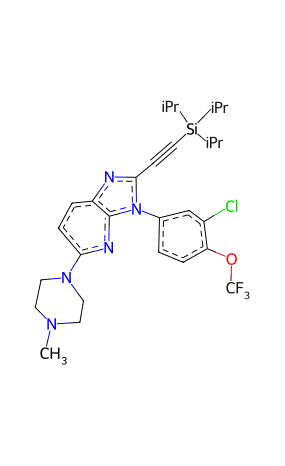 CC(C)[Si](C#Cc1nc2ccc(N3CCN(C)CC3)nc2n1-c1ccc(OC(F)(F)F)c(Cl)c1)(C(C)C)C(C)C